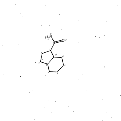 NC(=O)C1[CH]CC2CCCCC21